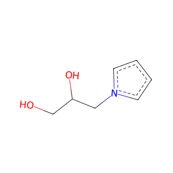 OCC(O)Cn1cccc1